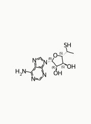 CC(S)[C@H]1O[C@@H](n2cnc3c(N)ncnc32)[C@H](O)[C@@H]1O